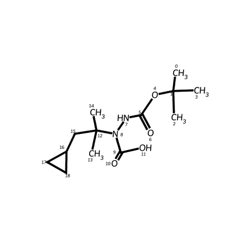 CC(C)(C)OC(=O)NN(C(=O)O)C(C)(C)CC1CC1